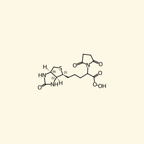 O=C1N[C@H]2[C@H](CS[C@H]2CCCC(C(=O)OO)N2C(=O)CCC2=O)N1